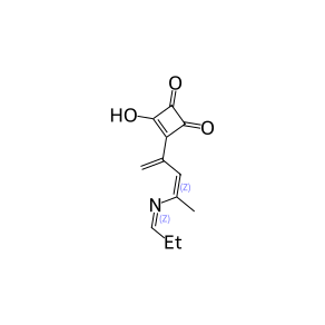 C=C(/C=C(C)\N=C/CC)c1c(O)c(=O)c1=O